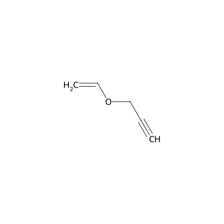 C#CCOC=C